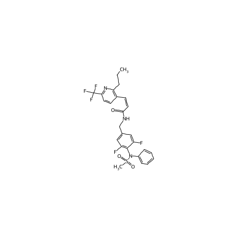 CCCc1nc(C(F)(F)F)ccc1/C=C\C(=O)NCc1cc(F)c(N(c2ccccc2)S(C)(=O)=O)c(F)c1